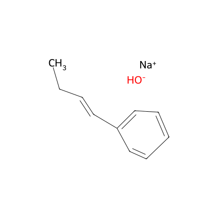 CCC=Cc1ccccc1.[Na+].[OH-]